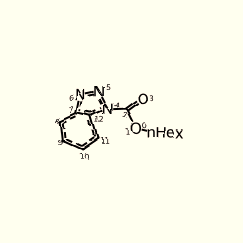 CCCCCCOC(=O)n1nnc2ccccc21